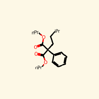 CCCOC(=O)C(CCC(C)C)(C(=O)OCCC)c1ccccc1